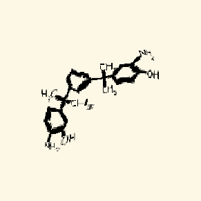 CC(C)(c1cccc(C(C)(C)c2ccc(N)c(O)c2)c1)c1ccc(O)c(N)c1